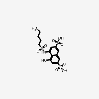 CCCCCS(=O)(=O)Nc1cc(S(=O)(=O)O)cc2cc(S(=O)(=O)O)cc(O)c12